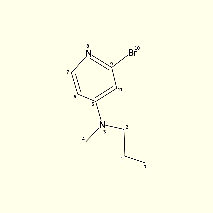 CCCN(C)c1ccnc(Br)c1